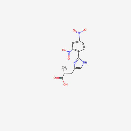 C[C@H](Cc1c[nH]c(-c2ccc([N+](=O)[O-])cc2[N+](=O)[O-])n1)C(=O)O